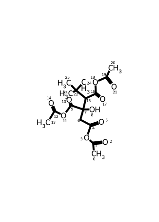 CC(=O)OC(=O)CC(O)(C(=O)OC(C)=O)C(C(=O)OC(C)=O)C(C)(C)C